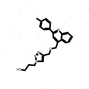 Cc1ccc(-c2cc(COCc3cn(CCCO)nn3)c3ccccc3n2)cc1